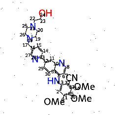 COc1cc(Nc2c(C#N)cnc3cc(-c4ccc(CN5CCN(CCO)CC5)cn4)ccc23)cc(OC)c1OC